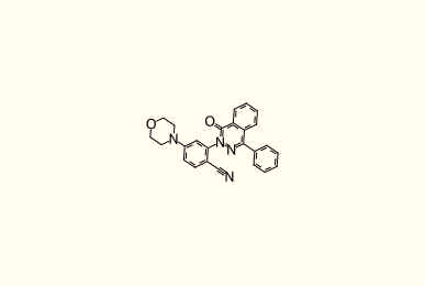 N#Cc1ccc(N2CCOCC2)cc1-n1nc(-c2ccccc2)c2ccccc2c1=O